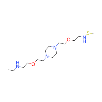 CCNCCOCCN1CCN(CCOCCNSC)CC1